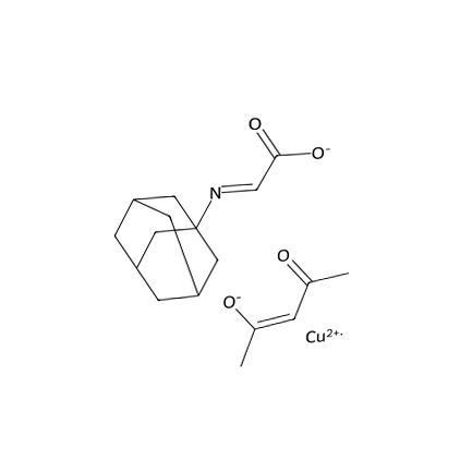 CC(=O)/C=C(/C)[O-].O=C([O-])/C=N/C12CC3CC(CC(C3)C1)C2.[Cu+2]